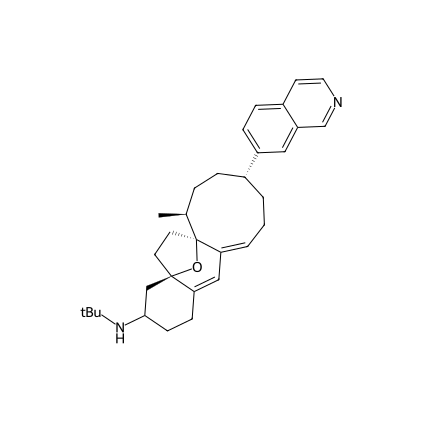 C[C@H]1CC[C@H](c2ccc3ccncc3c2)CC/C=C2/C=C3CCC(NC(C)(C)C)C[C@]34CC[C@@]21O4